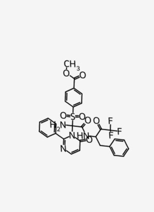 COC(=O)c1ccc(S(=O)(=O)C(N)(C(=O)NC(Cc2ccccc2)C(=O)C(F)(F)F)n2c(-c3ccccc3)nccc2=O)cc1